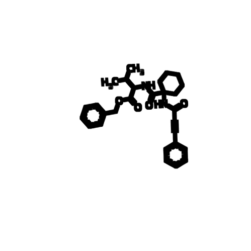 CC(C)C(NC(=O)C1(NC(=O)C#Cc2ccccc2)CCCCC1)C(=O)OCc1ccccc1